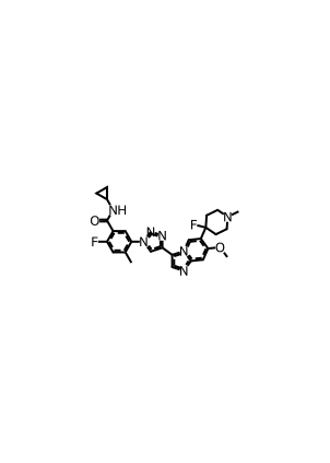 COc1cc2ncc(-c3cn(-c4cc(C(=O)NC5CC5)c(F)cc4C)nn3)n2cc1C1(F)CCN(C)CC1